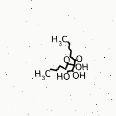 CCCCCC(=O)C(O)(C(=O)CCCCC)C(O)CO